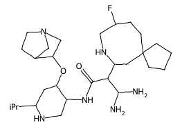 CC(C)C1CC(OC2CN3CCC2C3)C(NC(=O)C(C(N)N)C2CC3(CCCC3)CCC(F)CN2)CN1